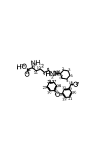 NC1CCCCC1.NCCCC[C@H](N)C(=O)O.O=Cc1cccc(Oc2ccccc2)c1